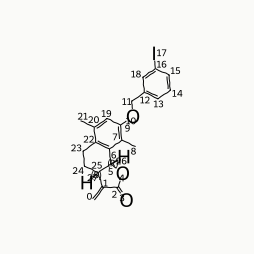 C=C1C(=O)O[C@H]2c3c(C)c(OCc4cccc(I)c4)cc(C)c3CC[C@@H]12